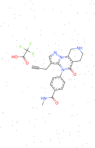 C#CCc1cnn2c3c(c(=O)n(-c4ccc(C(=O)NC)cc4)c12)CCNC3.O=C(O)C(F)(F)F